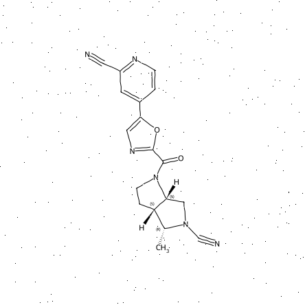 C[C@@H]1[C@@H]2CCN(C(=O)c3ncc(-c4ccnc(C#N)c4)o3)[C@@H]2CN1C#N